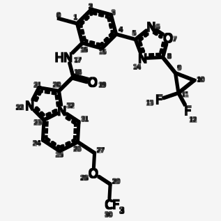 Cc1ccc(-c2noc(C3CC3(F)F)n2)cc1NC(=O)c1cnc2ccc(COCC(F)(F)F)cn12